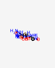 NC(=O)NCCC(Sc1nnn[nH]1)C1=C(C(=O)O)N2C(=O)C(NC(=O)C(N)c3cccc(NC=O)c3)[C@@H]2SC1